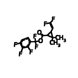 CC1(C)C(C=C(F)F)C1C(=O)OC(F)(F)c1ccc(F)c(F)c1F